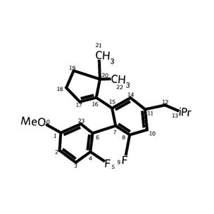 COc1ccc(F)c(-c2c(F)cc(CC(C)C)cc2C2=CCCC2(C)C)c1